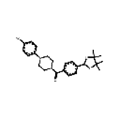 CC1(C)OB(c2ccc(C(=O)N3CCN(c4ccc(C#N)cc4)CC3)cc2)OC1(C)C